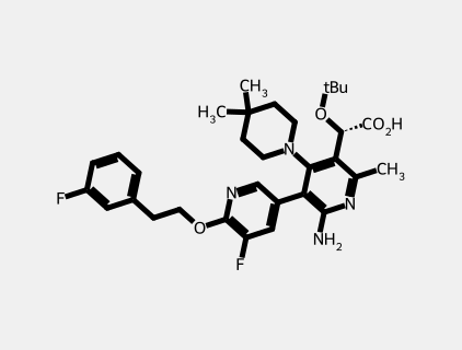 Cc1nc(N)c(-c2cnc(OCCc3cccc(F)c3)c(F)c2)c(N2CCC(C)(C)CC2)c1[C@H](OC(C)(C)C)C(=O)O